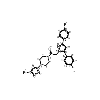 CCc1nnc(N2CCN(C(=O)Cn3nc(-c4ccc(F)cc4)nc3-c3ccc(F)cc3)CC2)o1